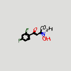 O=C(O)/C(CC(=O)c1ccc(F)cc1F)=N/O